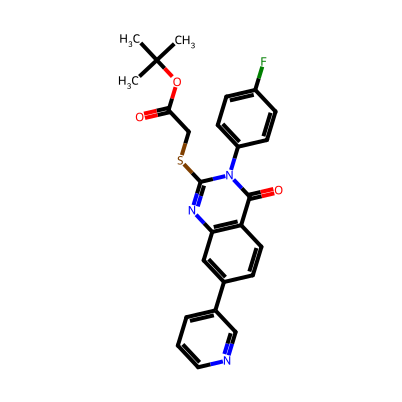 CC(C)(C)OC(=O)CSc1nc2cc(-c3cccnc3)ccc2c(=O)n1-c1ccc(F)cc1